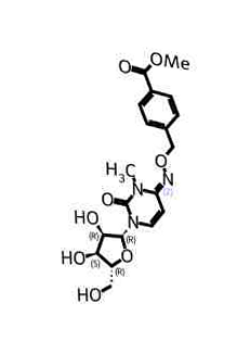 COC(=O)c1ccc(CO/N=c2/ccn([C@@H]3O[C@H](CO)[C@@H](O)[C@H]3O)c(=O)n2C)cc1